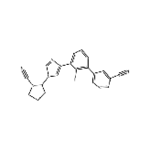 N#Cc1cccc(-c2cccc(-c3cn(C4CCCN4C#N)cn3)c2F)c1